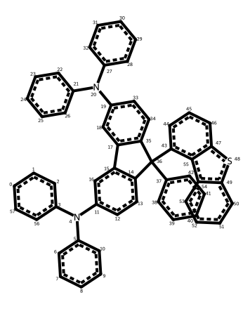 c1ccc(N(c2ccccc2)c2ccc3c(c2)-c2cc(N(c4ccccc4)c4ccccc4)ccc2C3(c2ccccc2)c2cccc3sc4ccccc4c23)cc1